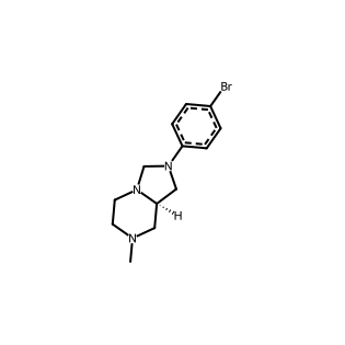 CN1CCN2CN(c3ccc(Br)cc3)C[C@H]2C1